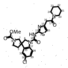 COC(=O)N1CCC2(C1)CN(C(=O)Nc1nc(CC(=O)N3CCCCC3)cs1)c1ccc(Cl)cc12